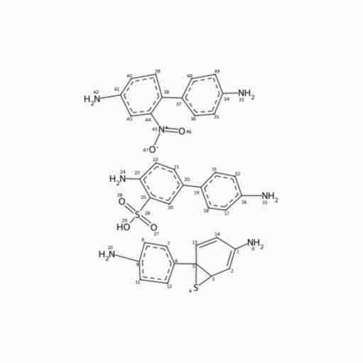 NC1=CC2SC2(c2ccc(N)cc2)C=C1.Nc1ccc(-c2ccc(N)c(S(=O)(=O)O)c2)cc1.Nc1ccc(-c2ccc(N)cc2[N+](=O)[O-])cc1